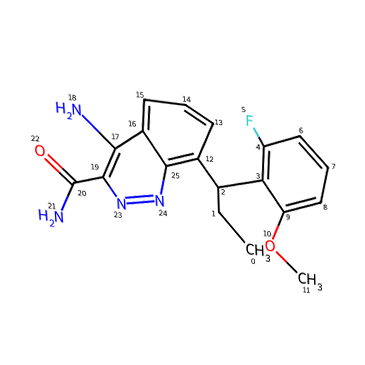 CCC(c1c(F)cccc1OC)c1cccc2c(N)c(C(N)=O)nnc12